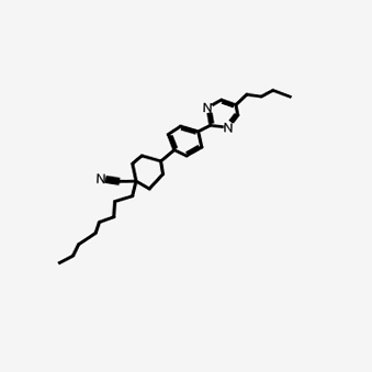 CCCCCCCCC1(C#N)CCC(c2ccc(-c3ncc(CCCC)cn3)cc2)CC1